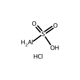 Cl.O=[S](=O)(O)[AlH2]